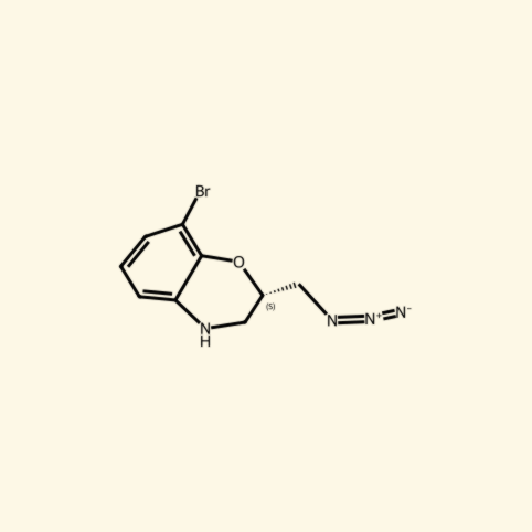 [N-]=[N+]=NC[C@@H]1CNc2cccc(Br)c2O1